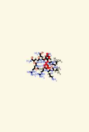 CC(=O)N[C@@H](CCCNC(=N)N)C(=O)N[C@@H](CCC(N)=O)C(=O)N[C@@H](CCC(N)=O)C(=O)N[C@@H](Cc1ccc(O)cc1)C(=O)N[C@@H](CCCNC(=N)N)C(=O)N[C@@H](CCCCN)C(=O)N[C@@H](CC(C)C)C(=O)N[C@@H](CC(C)C)C(=O)N[C@@H](CCCCN)C(=O)N[C@@H](CO)C(N)=O